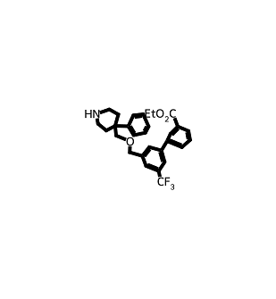 CCOC(=O)c1cccc(-c2cc(COCC3(c4ccccc4)CCNCC3)cc(C(F)(F)F)c2)c1